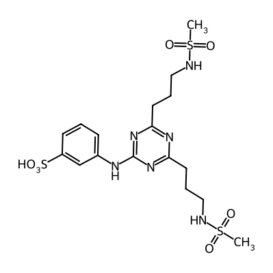 CS(=O)(=O)NCCCc1nc(CCCNS(C)(=O)=O)nc(Nc2cccc(S(=O)(=O)O)c2)n1